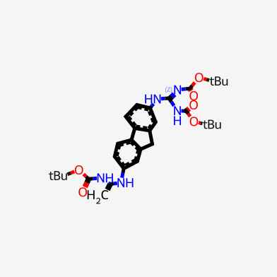 C=C(NC(=O)OC(C)(C)C)Nc1ccc2c(c1)Cc1cc(N/C(=N/C(=O)OC(C)(C)C)NC(=O)OC(C)(C)C)ccc1-2